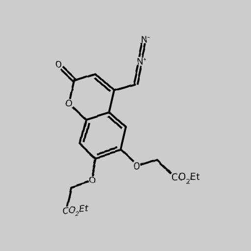 CCOC(=O)COc1cc2oc(=O)cc(C=[N+]=[N-])c2cc1OCC(=O)OCC